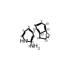 NC1=CC=CC=CN1.c1ccc2c(c1)CCO2